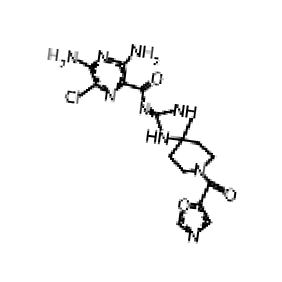 Nc1nc(N)c(C(=O)/N=C2\NCC3(CCN(C(=O)c4cnco4)CC3)N2)nc1Cl